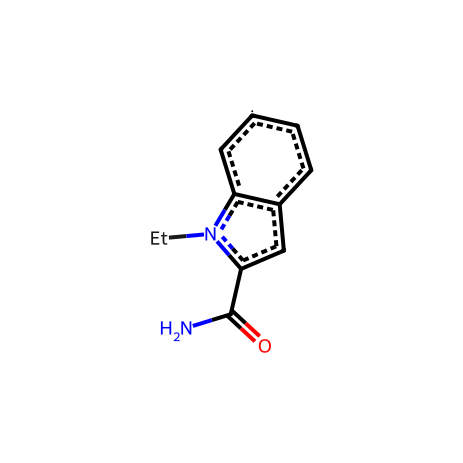 CCn1c(C(N)=O)cc2cc[c]cc21